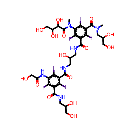 CN(CC(O)CO)C(=O)c1c(I)c(C(=O)NCC(O)CNC(=O)c2c(I)c(NC(=O)CO)c(I)c(C(=O)NCC(O)CO)c2I)c(I)c(N(C)C(=O)C(O)C(O)CO)c1I